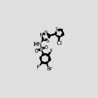 O=S(=O)(Nc1nnc(-c2sccc2Cl)s1)c1cc(F)c(Br)cc1F